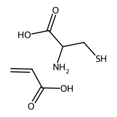 C=CC(=O)O.NC(CS)C(=O)O